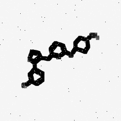 CN1CCC(Oc2cccc(Cc3ccsc3-c3cccc(Cl)c3)n2)CC1